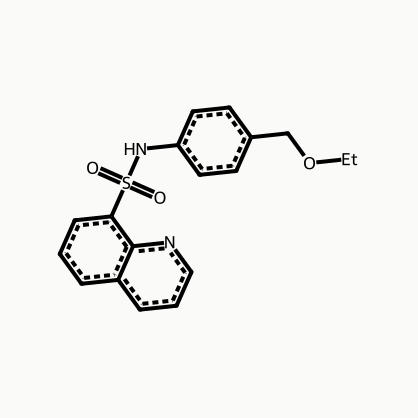 CCOCc1ccc(NS(=O)(=O)c2cccc3cccnc23)cc1